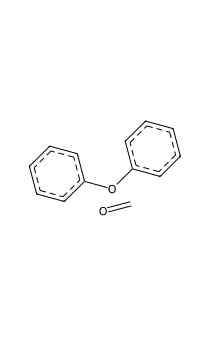 C=O.c1ccc(Oc2ccccc2)cc1